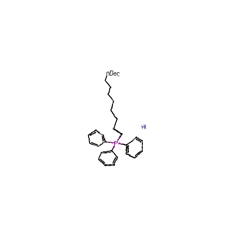 CCCCCCCCCCCCCCCCCC[P](c1ccccc1)(c1ccccc1)c1ccccc1.I